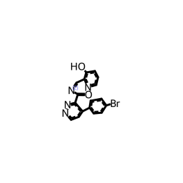 O=C(/N=C\c1ncccc1O)c1nnccc1-c1ccc(Br)cc1